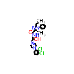 CCCc1nc(C(=O)NC[C@H](O)CN2CCN(c3cccc(Cl)c3Cl)CC2)c(C)n1-c1ccccc1